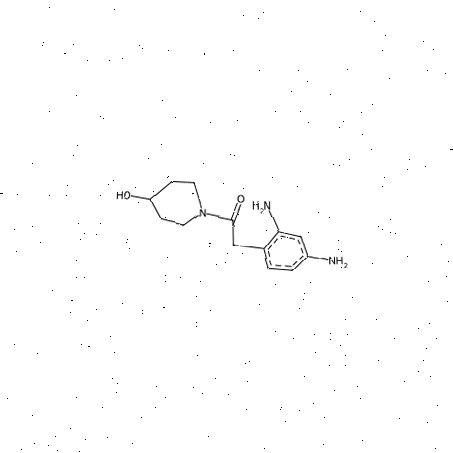 Nc1ccc(CC(=O)N2CCC(O)CC2)c(N)c1